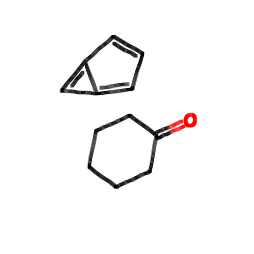 O=C1CCCCC1.c1cc2cc-2c1